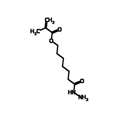 C=C(C)C(=O)OCCCCCCC(=O)NN